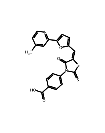 Cc1ccnc(-c2ccc(C=C3SC(=S)N(c4ccc(C(=O)O)cc4)C3=O)o2)c1